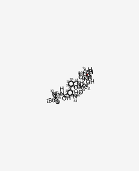 C=C1[C@H]2C[C@H](NC(=O)[C@@H]3[C@H]([C@H](C)O)[C@H](CO)ON3Cc3cccc(-c4cc(C(O)N[C@@H](CN(C)C)CS(=O)(=O)C(C)(C)C)cc(N(C)C)c4)c3OC)[C@@H](C)[C@@H]1C2